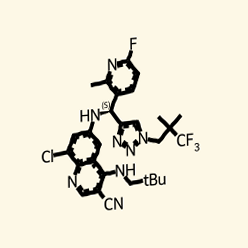 Cc1nc(F)ccc1[C@H](Nc1cc(Cl)c2ncc(C#N)c(NCC(C)(C)C)c2c1)c1cn(CC(C)(C)C(F)(F)F)nn1